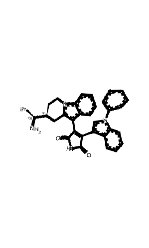 CC(C)[C@H](N)[C@H]1CCn2c(c(C3=C(c4cn(-c5ccccc5)c5ccccc45)C(=O)NC3=O)c3ccccc32)C1